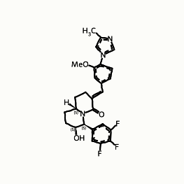 COc1cc(C=C2CC[C@H]3CC[C@H](O)[C@H](c4cc(F)c(F)c(F)c4)N3C2=O)ccc1-n1cnc(C)c1